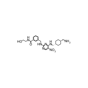 NC[C@H]1CC[C@H](CNc2nc(NCc3cccc(C(=O)NCCO)c3)ncc2[N+](=O)[O-])CC1